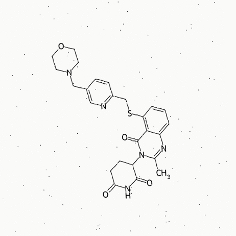 Cc1nc2cccc(SCc3ccc(CN4CCOCC4)cn3)c2c(=O)n1C1CCC(=O)NC1=O